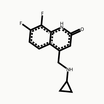 O=c1cc(CNC2CC2)c2ccc(F)c(F)c2[nH]1